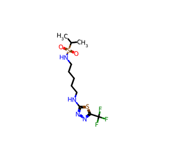 CC(C)S(=O)(=O)NCCCCCNc1nnc(C(F)(F)F)s1